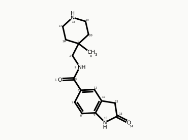 CC1(CNC(=O)c2ccc3c(c2)CC(=O)N3)CCNCC1